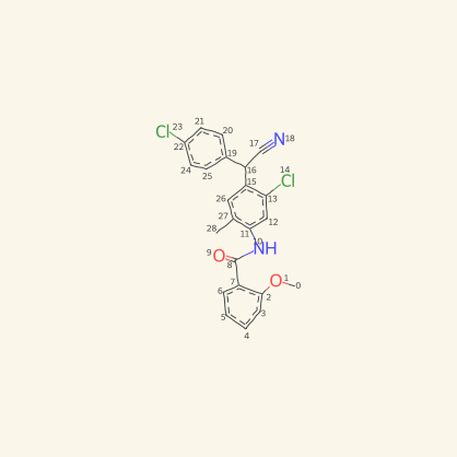 COc1ccccc1C(=O)Nc1cc(Cl)c(C(C#N)c2ccc(Cl)cc2)cc1C